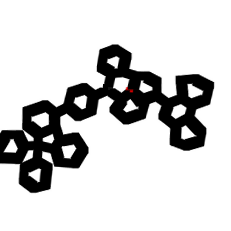 c1ccc(N(c2ccc(-c3cccc4c3-c3ccccc3C4(c3ccccc3)c3ccccc3)cc2)c2ccccc2-c2ccc(-c3cc4ccccc4c4ccccc34)cc2)cc1